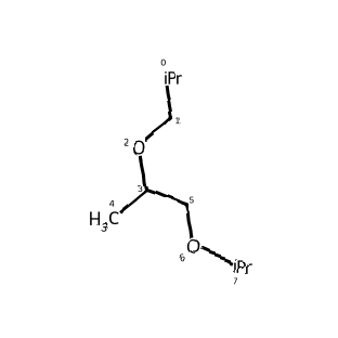 CC(C)COC(C)COC(C)C